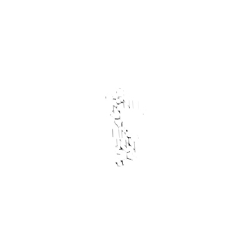 Nc1c(N2CCc3ccc(CNC(=O)c4nc5scc(-c6cccs6)c5c(=O)[nH]4)cc3C2)c(=O)c1=O